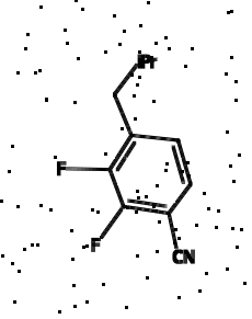 CC(C)Cc1ccc(C#N)c(F)c1F